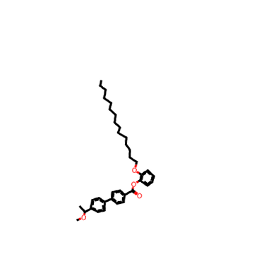 CCCCCCCCCCCCCCCOc1ccccc1OC(=O)c1ccc(-c2ccc(C(C)OC)cc2)cc1